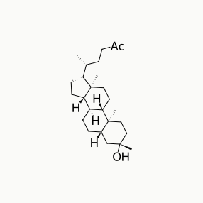 CC(=O)CC[C@@H](C)[C@H]1CC[C@H]2[C@@H]3CC[C@H]4C[C@@](C)(O)CC[C@]4(C)[C@H]3CC[C@]12C